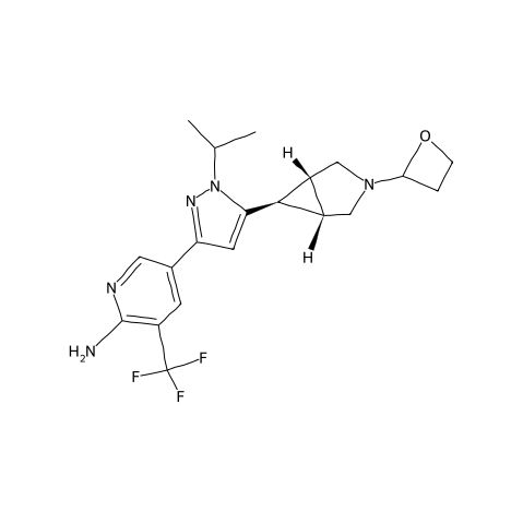 CC(C)n1nc(-c2cnc(N)c(C(F)(F)F)c2)cc1[C@H]1[C@@H]2CN(C3CCO3)C[C@@H]21